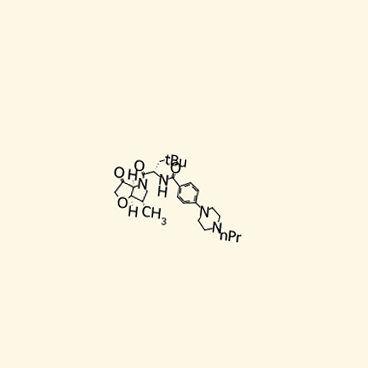 CCCN1CCN(c2ccc(C(=O)N[C@@H](CC(C)(C)C)C(=O)N3C[C@H](C)[C@H]4OCC(=O)[C@H]43)cc2)CC1